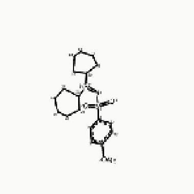 COc1ccc(S(=O)(=O)N=[PH](C2CCCCC2)C2CCCCC2)cc1